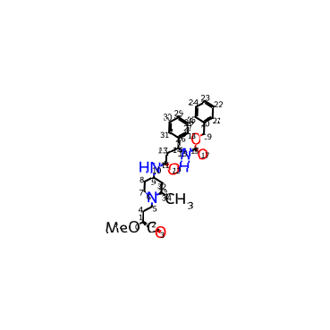 COC(=C=O)CCN1CCC(NC(=O)CC(NC(=O)OCc2ccccc2)c2ccccc2)CC1C